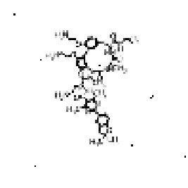 Cc1nc(-c2ccc3c(c2)CC(C)(C)O3)nc(C)c1C(=O)N[C@@H](CCN)C(=O)N(C)[C@@H]1C(=O)N[C@@H](C)C(=O)N[C@H](C(=O)NCC#N)Cc2ccc(OCCN)c(c2)-c2cc1ccc2OCCN